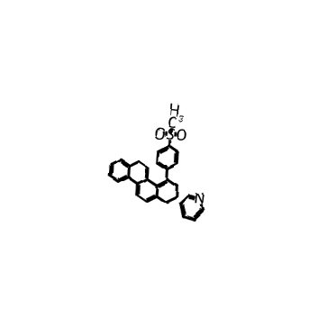 CS(=O)(=O)c1ccc(C2=c3c(ccc4c3=CCc3ccccc3-4)CCC2)cc1.c1ccncc1